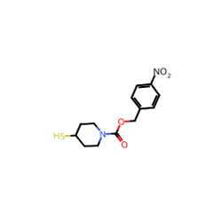 O=C(OCc1ccc([N+](=O)[O-])cc1)N1CCC(S)CC1